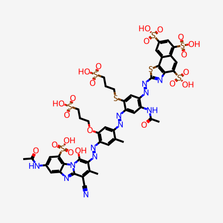 CC(=O)Nc1cc(S(=O)(=O)O)c2c(c1)nc1c(C#N)c(C)c(N=Nc3cc(C)c(N=Nc4cc(NC(C)=O)c(N=Nc5nc6c(S(=O)(=O)O)cc7c(S(=O)(=O)O)cc(S(=O)(=O)O)cc7c6s5)cc4SCCCS(=O)(=O)O)cc3OCCCS(=O)(=O)O)c(O)n12